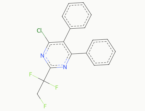 FCC(F)(F)c1nc(Cl)c(-c2ccccc2)c(-c2ccccc2)n1